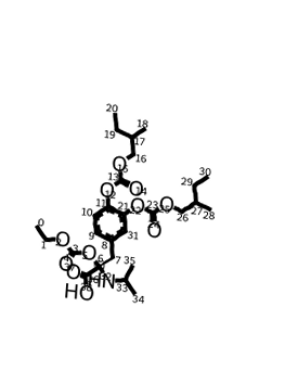 CCOC(=O)O[C@](Cc1ccc(OC(=O)OCC(C)CC)c(OC(=O)OCC(C)CC)c1)(NC(C)C)C(=O)O